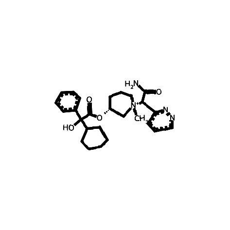 C[N+]1(C(C(N)=O)c2cccnn2)CCC[C@@H](OC(=O)C(O)(c2ccccc2)C2CCCCC2)C1